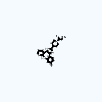 N#CCC(=O)N1CCC(c2nc3c([nH]2)-c2cccnc2Nc2cc(F)ccc2-3)CC1